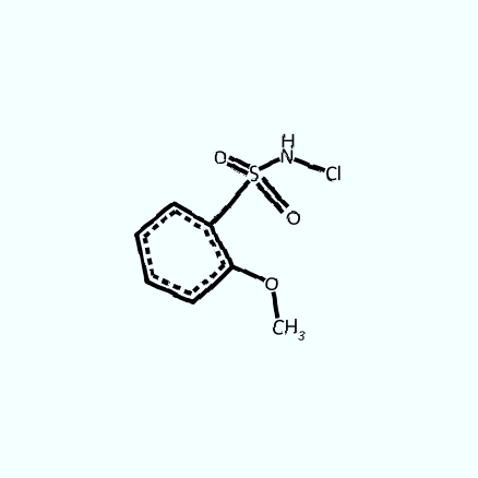 COc1ccccc1S(=O)(=O)NCl